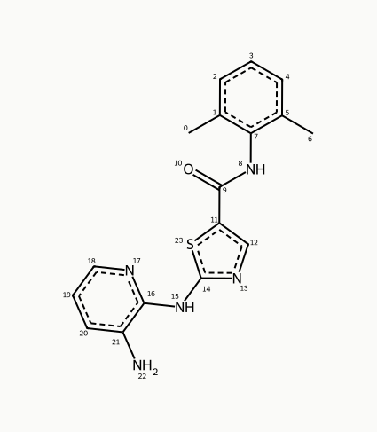 Cc1cccc(C)c1NC(=O)c1cnc(Nc2ncccc2N)s1